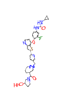 O=C(Nc1ccc(Oc2ccnc3cc(-c4ccc(CN5CCCC(C(=O)N6CC[C@@H](O)C6)C5)cn4)sc23)c(F)c1)NC1CC1